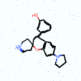 Oc1cccc(C2CC3(CCNCC3)Oc3cc(N4CCCC4)ccc32)c1